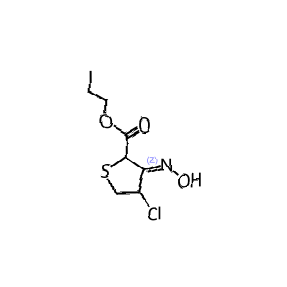 CCCOC(=O)C1SCC(Cl)/C1=N\O